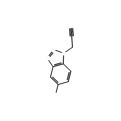 C#CCn1nnc2cc(F)ccc21